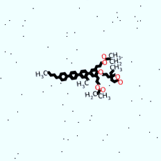 C=C(C)C(=O)OCCCc1cc(-c2ccc(-c3ccc(C4CCC(CCCCC)CC4)cc3)cc2CC)cc(CCCOC(=O)C(=C)C)c1OCCCC1(CCC)CCC(=O)OC1